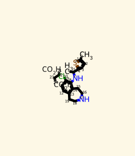 Cc1ccc(C(C)Nc2c(Cl)ccc3c2CCNCC3)s1.O=C(O)CCC(=O)O